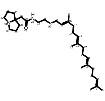 CC(C)=CCC/C(C)=C/CC/C(C)=C/CC/C(C)=C/CSCCNC(=O)CC12CCCN1CCC2